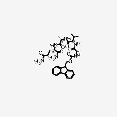 CC(C)[C@H](NC(=O)[C@H](C)NC(=O)OCC1c2ccccc2-c2ccccc21)C(=O)N[C@@H](C)C(=O)N[C@@H](CCC(N)=O)C(N)=O